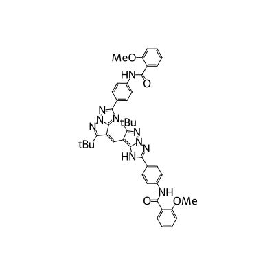 COc1ccccc1C(=O)Nc1ccc(-c2nc3/c(=C\c4c(C(C)(C)C)nn5nc(-c6ccc(NC(=O)c7ccccc7OC)cc6)[nH]c45)c(C(C)(C)C)nn3n2)cc1